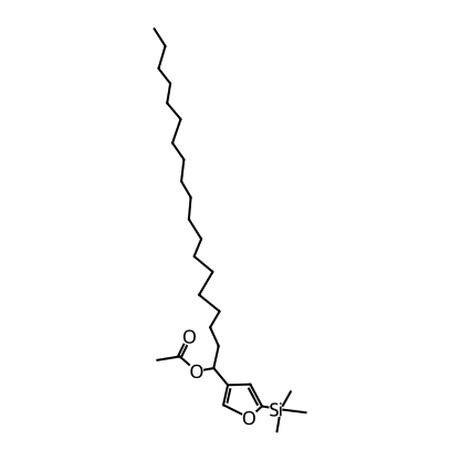 CCCCCCCCCCCCCCCCCCC(OC(C)=O)c1coc([Si](C)(C)C)c1